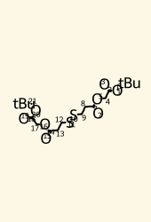 CC(C)(C)OC(=O)COC(=O)CCSSCCC(=O)OCC(=O)OC(C)(C)C